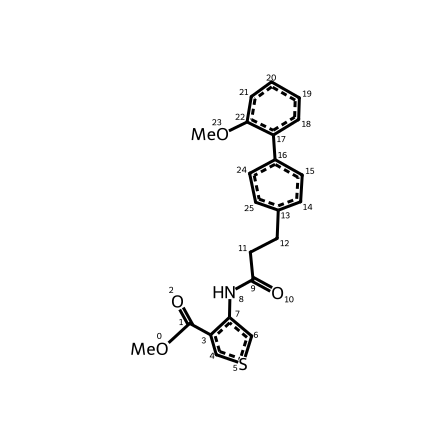 COC(=O)c1cscc1NC(=O)CCc1ccc(-c2ccccc2OC)cc1